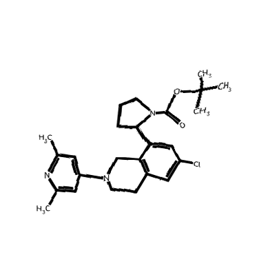 Cc1cc(N2CCc3cc(Cl)cc(C4CCCN4C(=O)OC(C)(C)C)c3C2)cc(C)n1